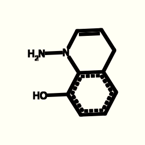 NN1C=CCc2cccc(O)c21